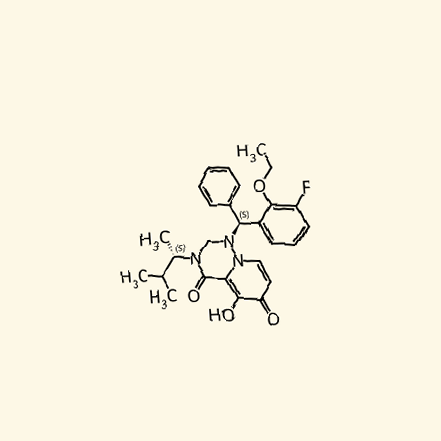 CCOc1c(F)cccc1[C@H](c1ccccc1)N1CN([C@@H](C)C(C)C)C(=O)c2c(O)c(=O)ccn21